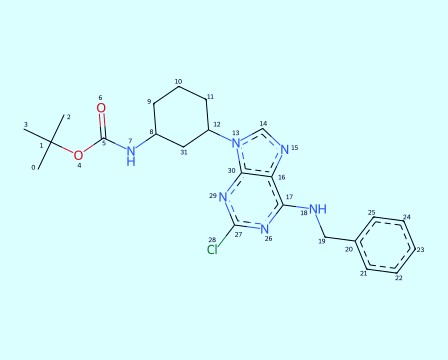 CC(C)(C)OC(=O)NC1CCCC(n2cnc3c(NCc4ccccc4)nc(Cl)nc32)C1